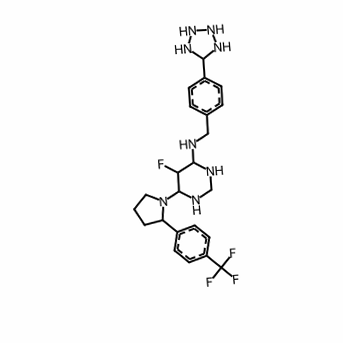 FC1C(NCc2ccc(C3NNNN3)cc2)NCNC1N1CCCC1c1ccc(C(F)(F)F)cc1